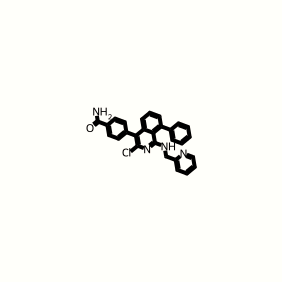 NC(=O)c1ccc(-c2c(Cl)nc(NCc3ccccn3)c3c(-c4ccccc4)cccc23)cc1